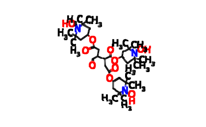 CC1(C)CC(OC(=O)CC(C=O)C(CC(=O)OC2CC(C)(C)N(O)C(C)(C)C2)C(=O)OC2CC(C)(C)N(O)C(C)(C)C2)CC(C)(C)N1O